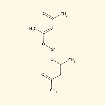 CC(=O)C=C(C)[O][Sn][O]C(C)=CC(C)=O